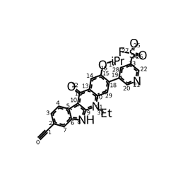 C#Cc1ccc2c(c1)[nH]c1c2c(=O)c2cc(OC(C)C)c(-c3cncc(S(=O)(=O)F)c3)cc2n1CC